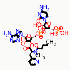 C=CCCC(=O)N(C)[C@@H](Cc1cccnc1)C(=O)O[C@H]1[C@@H](O)[C@H](n2cnc3c(N)ncnc32)O[C@@H]1COP(=O)(O)O[C@H]1[C@@H](O)[C@H](n2ccc(N)nc2=O)O[C@@H]1COP(=O)(O)O